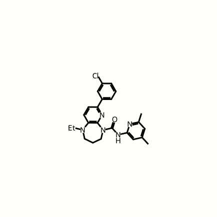 CCN1CCCN(C(=O)Nc2cc(C)cc(C)n2)c2nc(-c3cccc(Cl)c3)ccc21